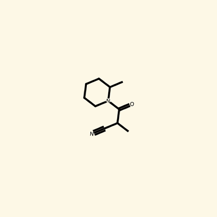 CC(C#N)C(=O)N1CCCCC1C